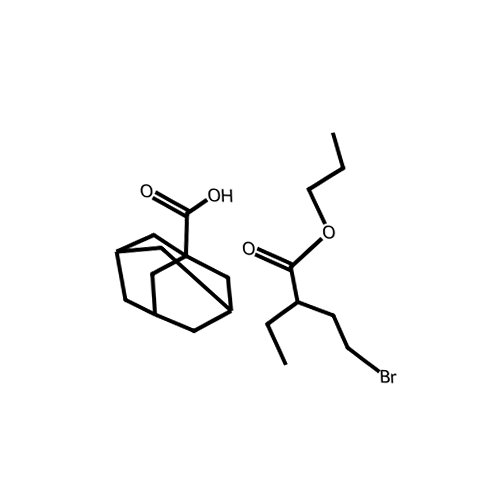 CCCOC(=O)C(CC)CCBr.O=C(O)C12CC3CC(CC(C3)C1)C2